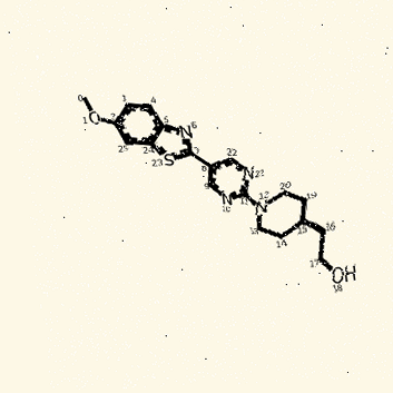 COc1ccc2nc(-c3cnc(N4CCC(CCO)CC4)nc3)sc2c1